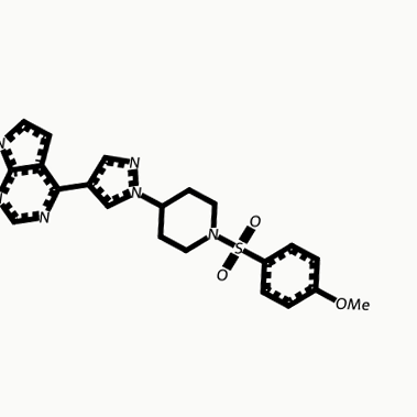 COc1ccc(S(=O)(=O)N2CCC(n3cc(-c4ncnc5[nH]ccc45)cn3)CC2)cc1